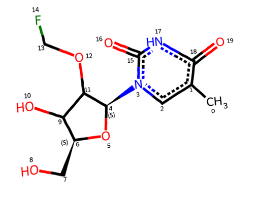 Cc1cn([C@H]2O[C@@H](CO)C(O)C2OCF)c(=O)[nH]c1=O